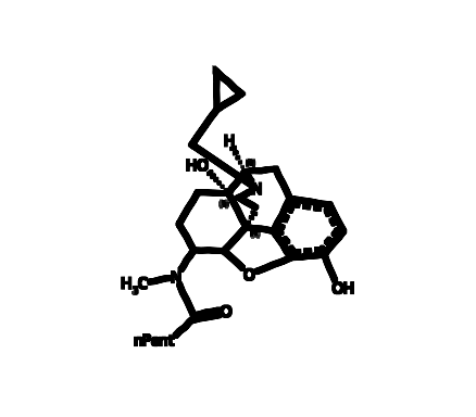 CCCCCC(=O)N(C)C1CC[C@@]2(O)[C@H]3Cc4ccc(O)c5c4[C@@]2(CCN3CC2CC2)C1O5